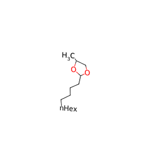 CCCCCCCCCCC1OCC(C)O1